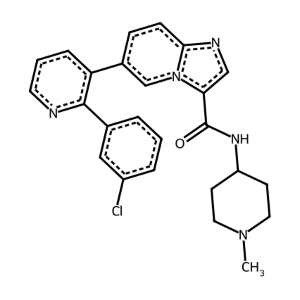 CN1CCC(NC(=O)c2cnc3ccc(-c4cccnc4-c4cccc(Cl)c4)cn23)CC1